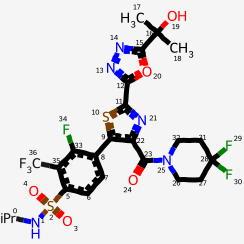 CC(C)NS(=O)(=O)c1ccc(-c2sc(-c3nnc(C(C)(C)O)o3)nc2C(=O)N2CCC(F)(F)CC2)c(F)c1C(F)(F)F